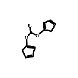 CC[C](OC1=CC=CC1)OC1=CC=CC1